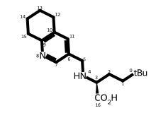 CC(C)(C)CC[C@H](NCc1cnc2c(c1)CCCC2)C(=O)O